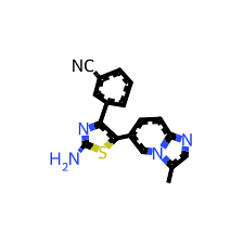 Cc1cnc2ccc(-c3sc(N)nc3-c3cccc(C#N)c3)cn12